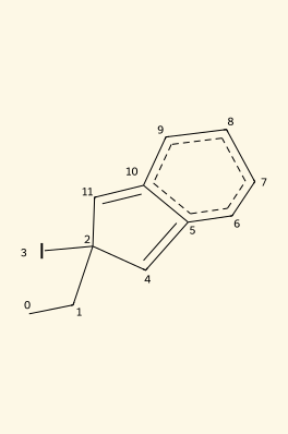 CCC1(I)C=c2ccccc2=C1